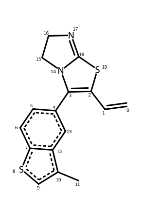 C=CC1=C(c2ccc3scc(C)c3c2)N2CCN=C2S1